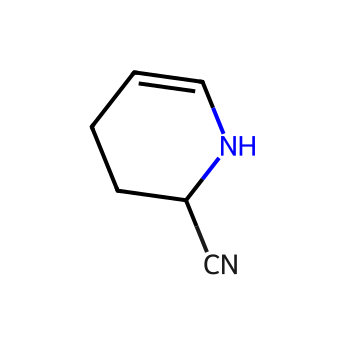 N#CC1CCC=CN1